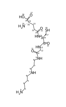 NCCCCNCCCNC(=O)CNC(=O)[C@H](CS)NC(=O)CC[C@H](N)C(=O)O